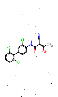 C/C(O)=C(\C#N)C(=O)Nc1ccc(-c2c(Cl)cccc2Cl)cc1Cl